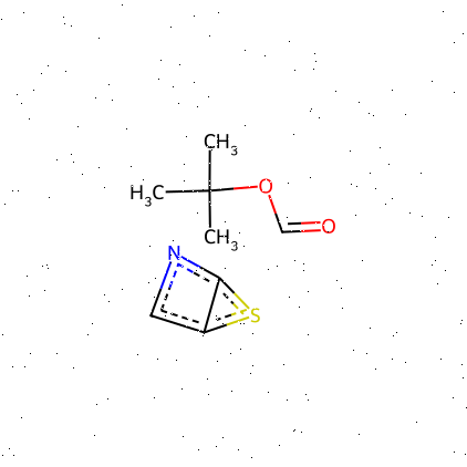 CC(C)(C)OC=O.c1nc2sc1-2